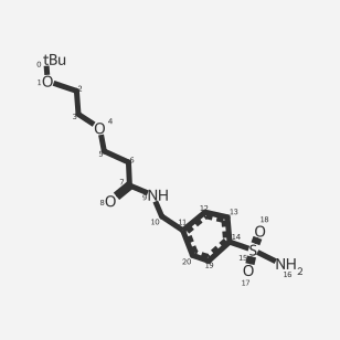 CC(C)(C)OCCOCCC(=O)NCc1ccc(S(N)(=O)=O)cc1